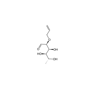 C=CCO[C@H](C=O)[C@@H](O)[C@H](O)[C@@H](C)O